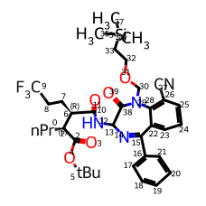 CCC[C@H](C(=O)OC(C)(C)C)[C@@H](CCC(F)(F)F)C(=O)NC1N=C(c2ccccc2)c2cccc(C#N)c2N(COCC[Si](C)(C)C)C1=O